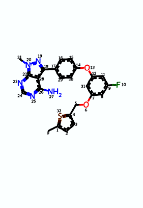 Cc1ccc(COc2cc(F)cc(Oc3ccc(-c4nn(C)c5ncnc(N)c45)cc3)c2)s1